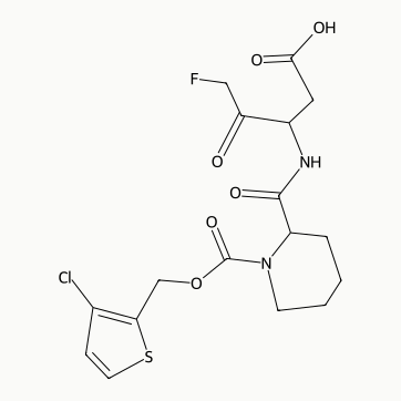 O=C(O)CC(NC(=O)C1CCCCN1C(=O)OCc1sccc1Cl)C(=O)CF